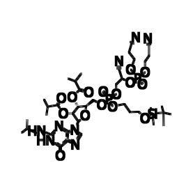 CC(C)CNc1nc2c(ncn2[C@@H]2O[C@H](COP(=O)(OCCCO[Si](C)(C)C(C)(C)C)OCC(C#N)OP(=O)(OCCC#N)OCCC#N)[C@@H](OC(=O)C(C)C)[C@H]2OC(=O)C(C)C)c(=O)[nH]1